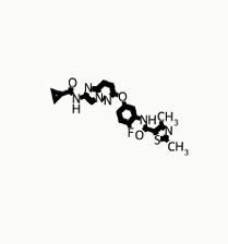 Cc1nc(C)c(C(=O)Nc2cc(Oc3ccc4nc(NC(=O)C5CC5)cn4n3)ccc2F)s1